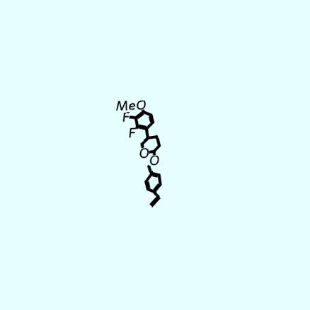 C=Cc1ccc(COC2CCC(c3ccc(OC)c(F)c3F)CO2)cc1